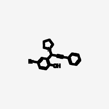 Oc1ccc(Br)cc1C(C#Cc1ccccc1)N1CCCC1